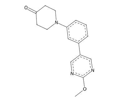 COc1ncc(-c2cccc(N3CCC(=O)CC3)c2)cn1